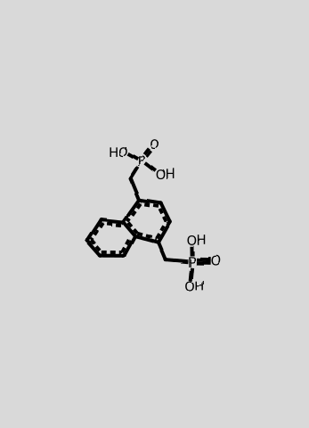 O=P(O)(O)Cc1ccc(CP(=O)(O)O)c2ccccc12